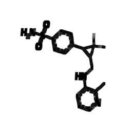 Cc1ncccc1NCC1C(c2ccc(S(N)(=O)=O)cc2)C1(C)C